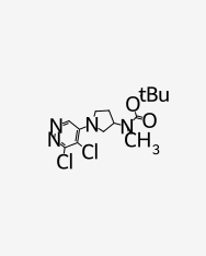 CN(C(=O)OC(C)(C)C)C1CCN(c2cnnc(Cl)c2Cl)C1